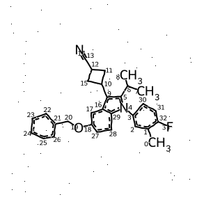 Cc1cc(-n2c(C(C)C)c(C3CC(C#N)C3)c3cc(OCc4ccccc4)ccc32)ccc1F